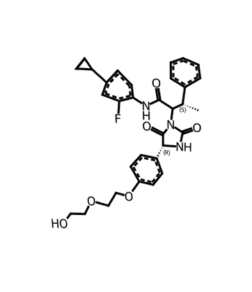 C[C@@H](c1ccccc1)C(C(=O)Nc1ccc(C2CC2)cc1F)N1C(=O)N[C@H](c2ccc(OCCOCCO)cc2)C1=O